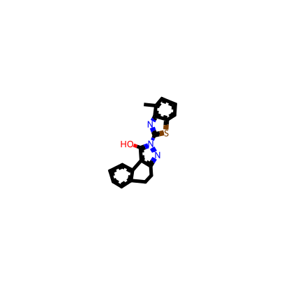 Cc1cccc2sc(-n3nc4c(c3O)-c3ccccc3CC4)nc12